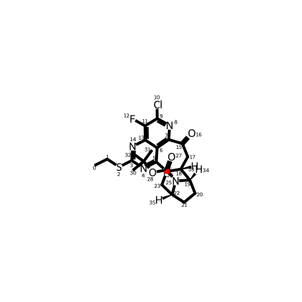 CCSc1nc2c3c(nc(Cl)c(F)c3n1)C(=O)C[C@@H]1[C@@H]3CC[C@H](CN21)N3C(=O)OC(C)(C)C